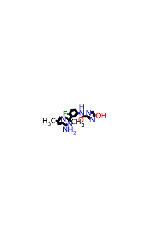 Cc1cc2n(c1)CC(C)(c1cc(NC(=O)c3cnc(O)cn3)ccc1F)N=C2N